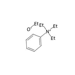 CC[N+](CC)(CC)c1ccccc1.CC[O-]